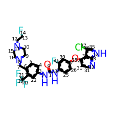 O=C(Nc1ccc(CN2CCN(CCF)CC2)c(C(F)(F)F)c1)Nc1ccc(Oc2ccnc3[nH]cc(Cl)c23)cc1F